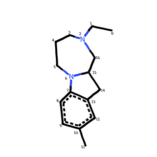 CCN1CCCN2c3ccc(C)cc3CC2C1